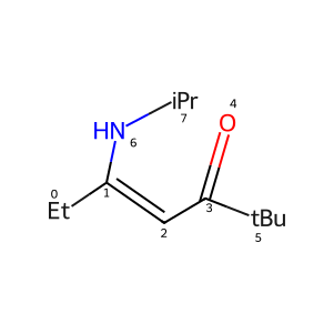 CCC(=CC(=O)C(C)(C)C)NC(C)C